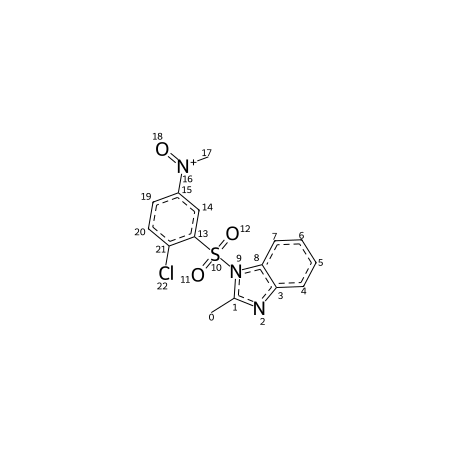 Cc1nc2ccccc2n1S(=O)(=O)c1cc([N+](C)=O)ccc1Cl